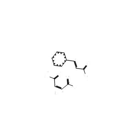 O=C(O)C=Cc1ccccc1.O=C([O-])/C=C\C(=O)O.[Li+]